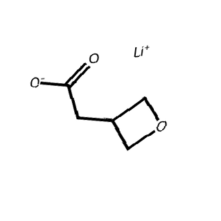 O=C([O-])CC1COC1.[Li+]